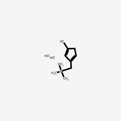 C[Si](C)(C)CC1=CC[C]([Hf])=C1.Cl.Cl